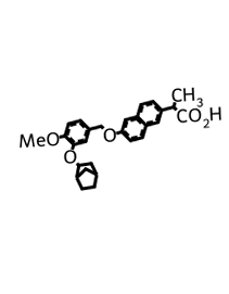 COc1ccc(COc2ccc3cc(C(C)C(=O)O)ccc3c2)cc1OC1CC2CCC1C2